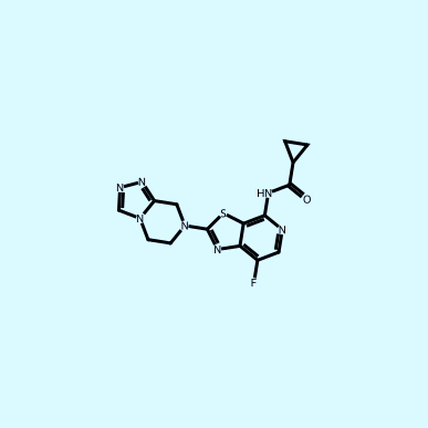 O=C(Nc1ncc(F)c2nc(N3CCn4cnnc4C3)sc12)C1CC1